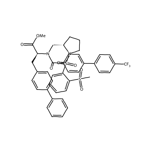 COC(=O)[C@H](Cc1ccc(-c2ccccc2)cc1)N(C[C@@H]1CCCN1S(=O)(=O)c1ccccc1S(C)(=O)=O)C(=O)c1ccc(-c2ccc(C(F)(F)F)cc2)cc1